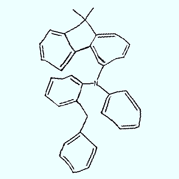 CC1(C)c2ccccc2-c2c(N(c3ccccc3)c3ccccc3Cc3ccccc3)cccc21